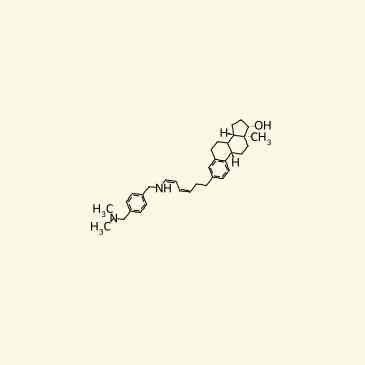 CN(C)Cc1ccc(CN/C=C\C=C/CCc2ccc3c(c2)CCC2[C@@H]3CC[C@]3(C)[C@@H](O)CC[C@@H]23)cc1